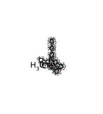 CC1(C)c2ccccc2-c2cc(N(c3ccc(-c4ccc(-c5ccccc5)cc4)cc3)c3ccc4c(c3)C3(c5ccccc5-c5ccccc53)c3ccccc3-4)ccc21